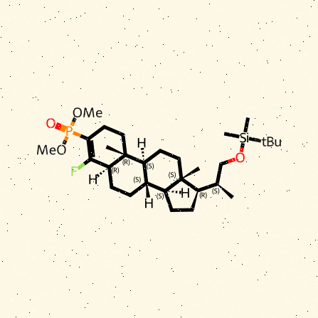 COP(=O)(OC)C1=C(F)[C@@H]2CC[C@@H]3[C@H](CC[C@]4(C)[C@@H]([C@H](C)CO[Si](C)(C)C(C)(C)C)CC[C@@H]34)[C@@]2(C)CC1